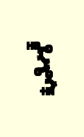 [NH]CCOC(=O)CCC(=O)O